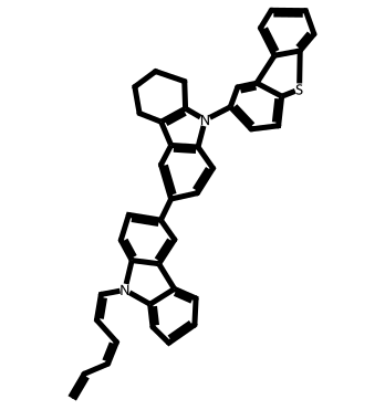 C=C/C=C\C=C/n1c2ccccc2c2cc(-c3ccc4c(c3)c3c(n4-c4ccc5sc6ccccc6c5c4)CCCC3)ccc21